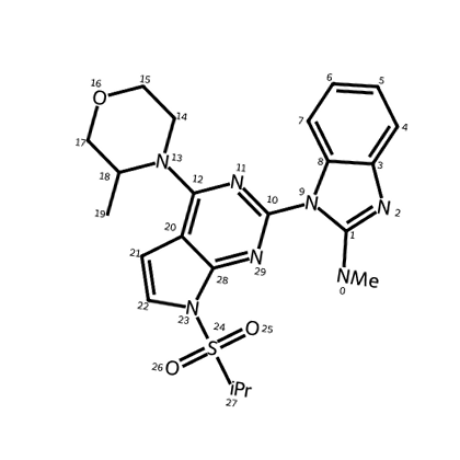 CNc1nc2ccccc2n1-c1nc(N2CCOCC2C)c2ccn(S(=O)(=O)C(C)C)c2n1